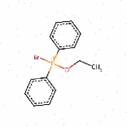 CCO[PH](Br)(c1ccccc1)c1ccccc1